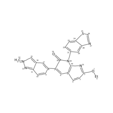 CCOc1ccc2cc(-c3ccc4nn(C)cc4c3)c(=O)n(-c3ccc4scnc4c3)c2n1